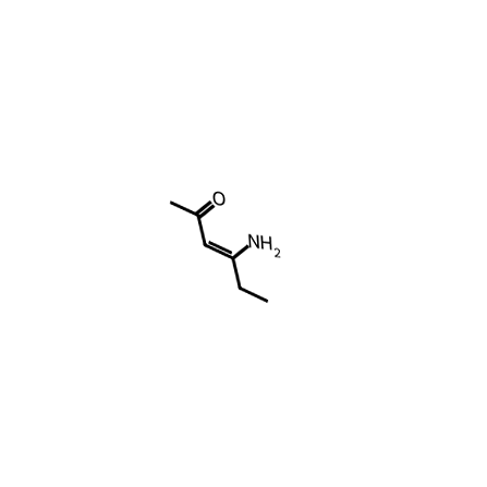 CCC(N)=CC(C)=O